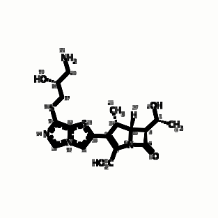 C[C@@H](O)[C@H]1C(=O)N2C(C(=O)O)=C(c3cn4cnc(SC[C@H](O)CN)c4s3)[C@H](C)[C@H]12